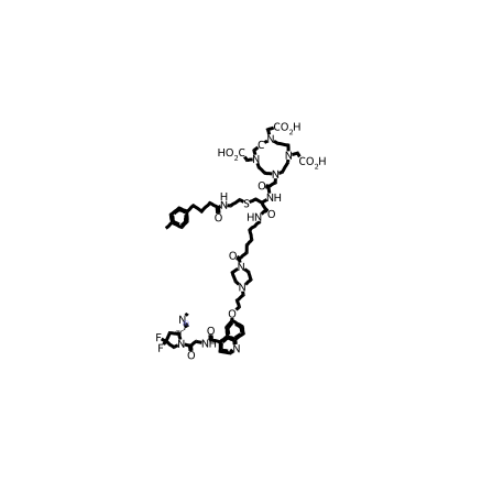 C/N=C/[C@H]1CC(F)(F)CN1C(=O)CNC(=O)c1ccnc2ccc(OCCCN3CCN(C(=O)CCCCCNC(=O)C(CSCCNC(=O)CCCc4ccc(C)cc4)NC(=O)CN4CCN(CC(=O)O)CCN(CC(=O)O)CCN(CC(=O)O)CC4)CC3)cc12